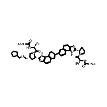 COC(=O)N[C@H](C(=O)N1CCC[C@H]1c1nc2ccc3cc(-c4ccc5c(ccc6nc([C@@H]7C[C@H](COCC8CCCC8)CN7C(=O)[C@@H](NC(=O)OC)C(C)C)[nH]c65)c4)ccc3c2[nH]1)C(C)C